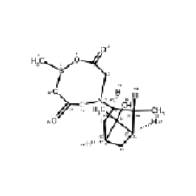 CB1OC(=O)CN([C@@H]2C[C@@H]3C[C@H]([C@H]2C)C3(C)C)CC(=O)O1